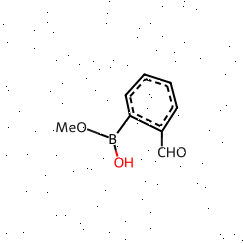 COB(O)c1ccccc1C=O